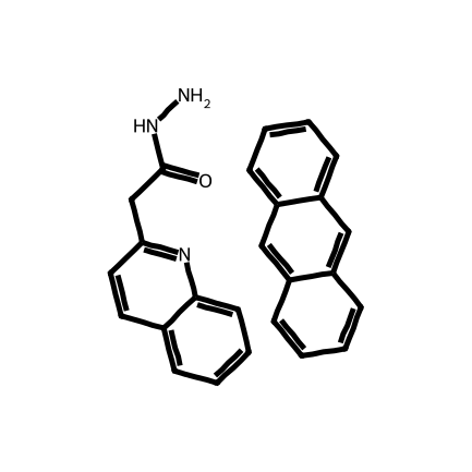 NNC(=O)Cc1ccc2ccccc2n1.c1ccc2cc3ccccc3cc2c1